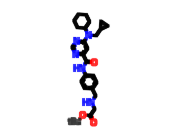 CC(C)(C)OC(=O)CNCc1ccc(NC(=O)c2cc(N(CC3CC3)C3CCCCC3)ncn2)cc1